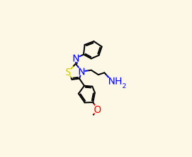 COc1ccc(-c2csc(=Nc3ccccc3)n2CCCN)cc1